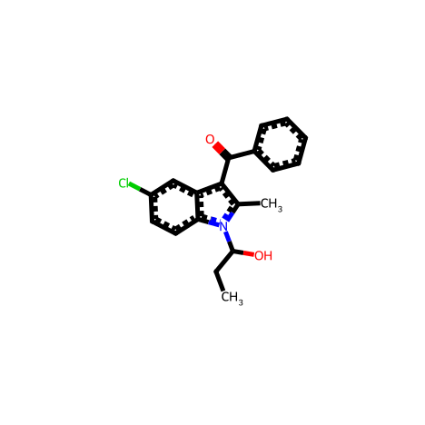 CCC(O)n1c(C)c(C(=O)c2ccccc2)c2cc(Cl)ccc21